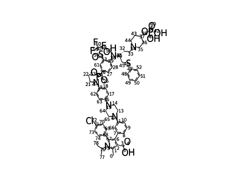 Cc1c(C(=O)O)c(-c2cccc(N3CCN(c4ccc(N5CCO[P@@]5(=O)c5ccc(N[C@H](CCN6CCC(OP(=O)(O)O)CC6)CSc6ccccc6)c(S(=O)(=O)C(F)(F)F)c5)cc4)CC3)c2)c(-c2ccc(Cl)cc2)n1C(C)C